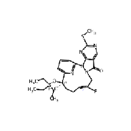 CC[Si](CC)(CC)O[C@]1(C)CC/C=C(\F)Cn2c(=O)c3cnc(SC)nc3n2-c2cccc1n2